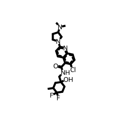 CC1CC(O)(CNC(=O)c2c(Cl)ccc3nc(N4CCC(N(C)C)C4)ccc23)CCC1(F)F